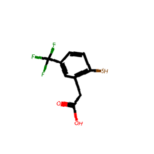 O=C(O)Cc1cc(C(F)(F)F)ccc1S